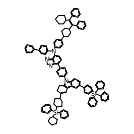 C1=C(C2CCC([Si](c3ccccc3)(c3ccccc3)C3CCCCC3)CC2)CCc2c1c1cc(-c3ccc([Si](c4ccccc4)(c4ccccc4)c4ccccc4)cc3)ccc1n2-c1ccc(-c2ccc(N(c3ccc(-c4ccccc4)cc3)c3ccc(C4CCC(/C(=C(/c5ccccc5)C5CCCCC5)c5ccccc5)CC4)cc3)c3c2=NCN=3)cc1